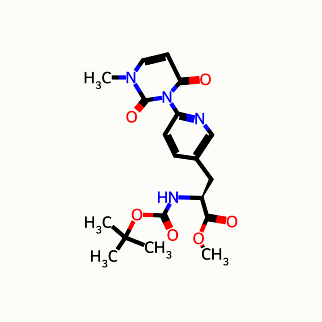 COC(=O)[C@H](Cc1ccc(-n2c(=O)ccn(C)c2=O)nc1)NC(=O)OC(C)(C)C